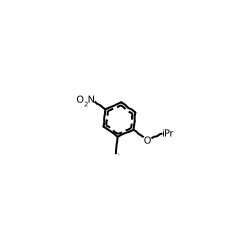 [CH2]c1cc([N+](=O)[O-])ccc1OC(C)C